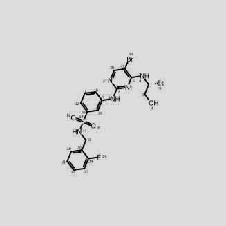 CC[C@H](CO)Nc1nc(Nc2cccc(S(=O)(=O)NCc3ccccc3F)c2)ncc1Br